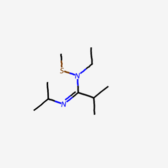 CCN(SC)/C(=N\C(C)C)C(C)C